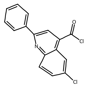 O=C(Cl)c1cc(-c2ccccc2)nc2ccc(Cl)cc12